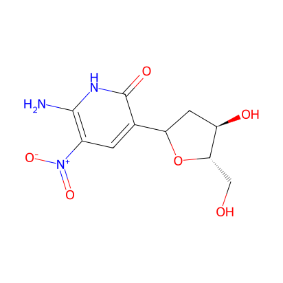 Nc1[nH]c(=O)c(C2C[C@@H](O)[C@H](CO)O2)cc1[N+](=O)[O-]